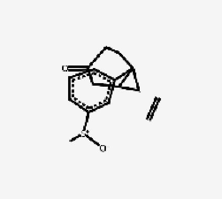 C=C.C[S+]([O-])c1cccc(C23CCC(=O)CC2C3)c1